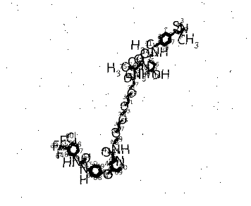 Cc1ncsc1-c1ccc([C@H](C)NC(=O)[C@@H]2C[C@@H](O)CN2C(=O)C(NC(=O)CCOCCOCCOCCOCCNC(=O)c2cc(Oc3ccc(NC(=O)Nc4ccc(Cl)c(C(F)(F)F)c4)cc3)ccn2)C(C)(C)C)cc1